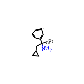 CCCC(N)(CC1CC1)c1c[c]ccc1